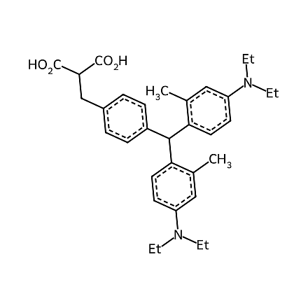 CCN(CC)c1ccc(C(c2ccc(CC(C(=O)O)C(=O)O)cc2)c2ccc(N(CC)CC)cc2C)c(C)c1